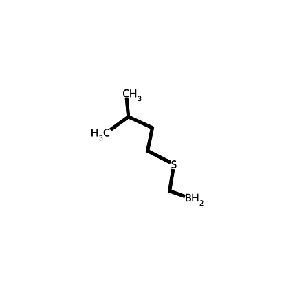 BCSCCC(C)C